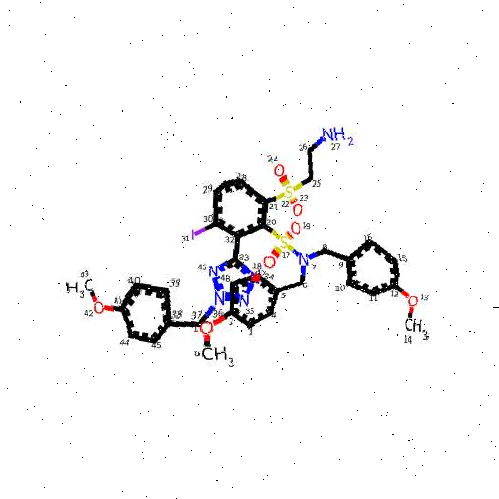 COc1ccc(CN(Cc2ccc(OC)cc2)S(=O)(=O)c2c(S(=O)(=O)CCN)ccc(I)c2-c2nnn(Cc3ccc(OC)cc3)n2)cc1